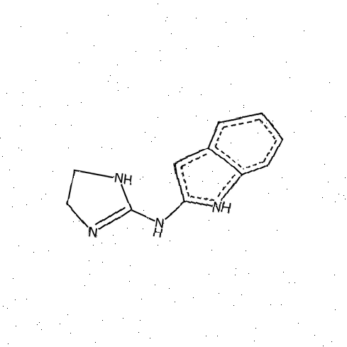 c1ccc2[nH]c(NC3=NCCN3)cc2c1